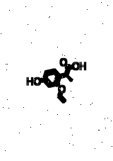 CCOc1cc(O)ccc1[C@H](C)C(=O)O